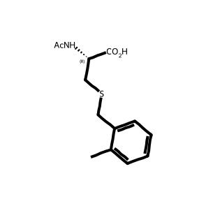 CC(=O)N[C@@H](CSCc1ccccc1C)C(=O)O